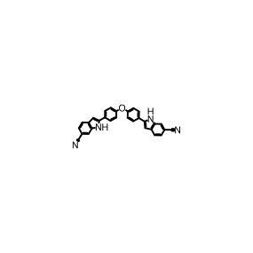 N#Cc1ccc2cc(-c3ccc(Oc4ccc(-c5cc6ccc(C#N)cc6[nH]5)cc4)cc3)[nH]c2c1